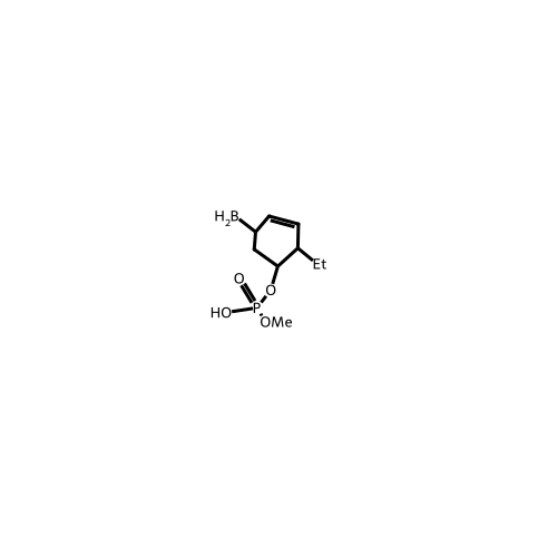 BC1C=CC(CC)C(OP(=O)(O)OC)C1